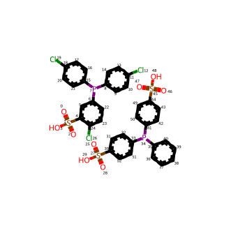 O=S(=O)(O)c1cc(P(c2ccc(Cl)cc2)c2ccc(Cl)cc2)ccc1Cl.O=S(=O)(O)c1ccc(P(c2ccccc2)c2ccc(S(=O)(=O)O)cc2)cc1